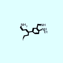 CCNc1ccc(/C(=C/C=C\N)CCI)cc1C=N